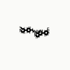 Cc1cc(-c2ccc(CCNc3nccc4cc(-c5cccc(F)c5)ncc34)cc2)ccn1